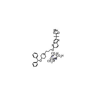 CC(C)(C)OC(=O)C(C)(C)c1cn2nc(OCCCN3CCC(OC(c4ccccc4)c4ccccc4)CC3)ccc2n1.O=C(O)/C=C/C(=O)O.O=C(O)/C=C/C(=O)O